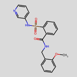 COc1ccccc1CNC(=O)c1ccccc1S(=O)(=O)Nc1cccnc1